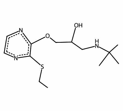 CCSc1nccnc1OCC(O)CNC(C)(C)C